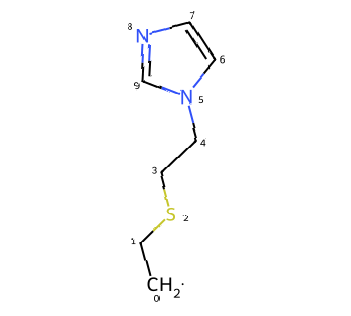 [CH2]CSCCn1ccnc1